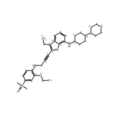 CP(C)(=O)c1ccc(NCC#Cc2sc3c(NC4CCC(N5CCOCC5)CC4)cccc3c2CC(F)(F)F)c(OCF)c1